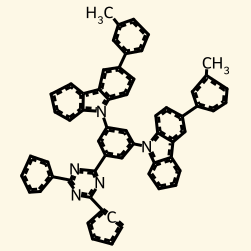 Cc1cccc(-c2ccc3c(c2)c2ccccc2n3-c2cc(-c3nc(-c4ccccc4)nc(-c4ccccc4)n3)cc(-n3c4ccccc4c4cc(-c5cccc(C)c5)ccc43)c2)c1